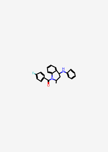 CC1CC(Nc2ccccc2)c2ccccc2N1C(=O)c1ccc(F)cc1